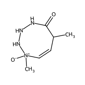 CC1C=C[N+](C)([O-])NNNC1=O